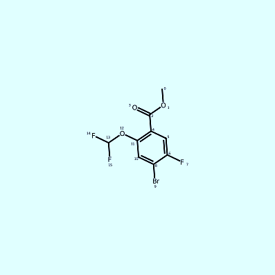 COC(=O)c1cc(F)c(Br)cc1OC(F)F